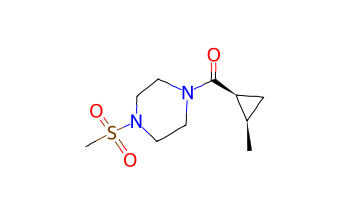 C[C@@H]1C[C@@H]1C(=O)N1CCN(S(C)(=O)=O)CC1